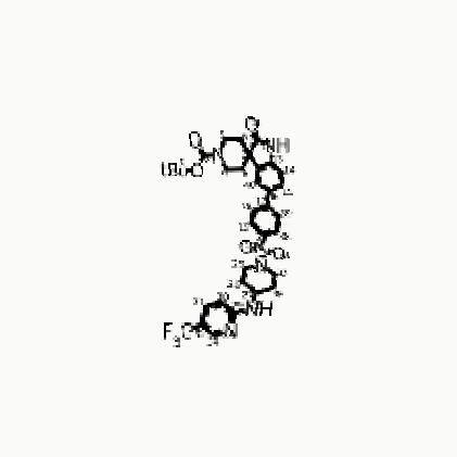 CC(C)(C)OC(=O)N1CCC2(CC1)C(=O)Nc1ccc(-c3ccc(S(=O)(=O)N4CCC(Nc5ccc(C(F)(F)F)cn5)CC4)cc3)cc12